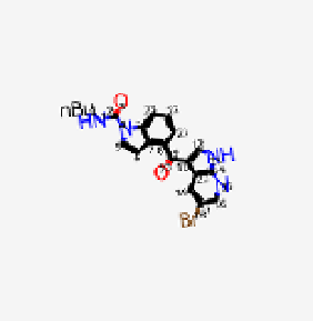 CCCCNC(=O)n1ccc2c(C(=O)c3c[nH]c4ncc(Br)cc34)cccc21